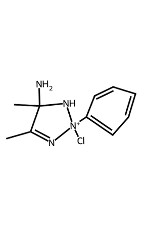 CC1=N[N+](Cl)(c2ccccc2)NC1(C)N